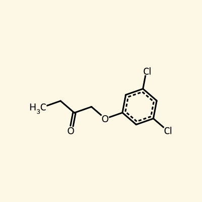 CCC(=O)COc1cc(Cl)cc(Cl)c1